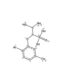 Cc1ccc(C(C)C)c(OC(C(N)O)P(=O)(O)S)c1